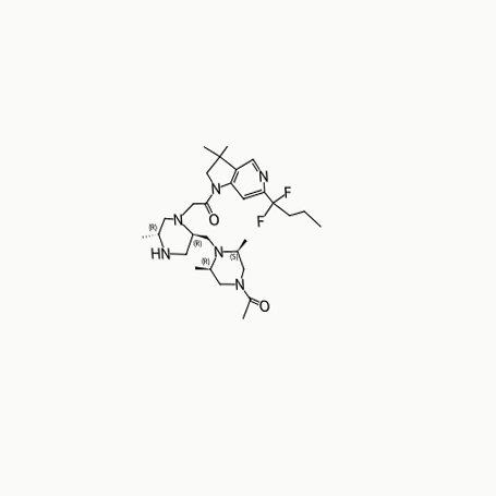 CCCC(F)(F)c1cc2c(cn1)C(C)(C)CN2C(=O)CN1C[C@@H](C)NC[C@@H]1CN1[C@H](C)CN(C(C)=O)C[C@@H]1C